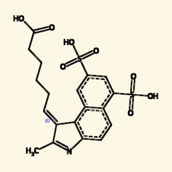 CC1=Nc2ccc3c(S(=O)(=O)O)cc(S(=O)(=O)O)cc3c2/C1=C\CCCCC(=O)O